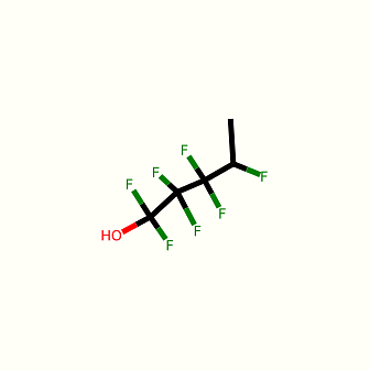 CC(F)C(F)(F)C(F)(F)C(O)(F)F